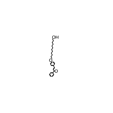 O=C(C=Cc1ccc(OCCCCCCCCCCCCO)cc1)c1ccccc1